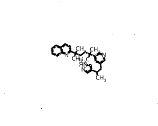 CC(Cc1cncc(C(C)(C)CCC(C)(C)c2ccc3ccccc3n2)c1)c1cn[nH]c1